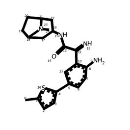 Cc1ccc(-c2ccc(N)c(C(=N)C(=O)NC3CC4CCC(C3)N4C)c2)s1